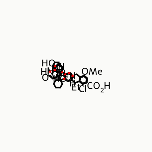 CCC(c1cccc(C2(C(=O)O[C@H]3CN4CCC3CC4)CCCCC2)c1)c1c(Cl)c(C(=O)O)cc(OC)c1CNC[C@H](O)c1ccc(O)c2[nH]c(=O)ccc12